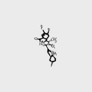 CCN(C(=O)c1cc2cc(F)ccc2[nH]1)[C@H](C)c1n[nH]c(=O)c2cc(F)c(F)cc12